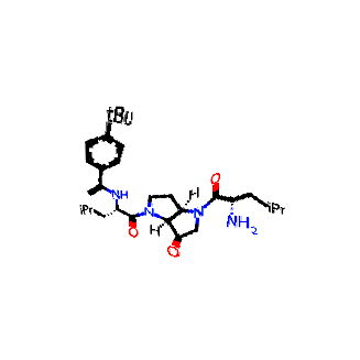 C=C(N[C@@H](CC(C)C)C(=O)N1CC[C@@H]2[C@H]1C(=O)CN2C(=O)[C@@H](N)CC(C)C)c1ccc(C(C)(C)C)cc1